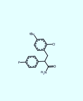 CC(C)(C)c1ccc(CC(C(N)=O)c2ccc(F)cc2)c(Cl)c1